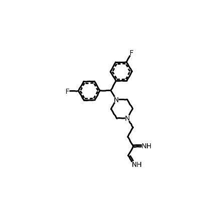 N=CC(=N)CCN1CCN(C(c2ccc(F)cc2)c2ccc(F)cc2)CC1